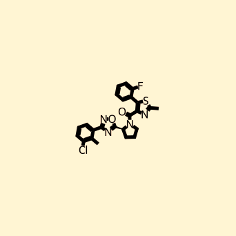 Cc1nc(C(=O)N2CCC[C@H]2c2nc(-c3cccc(Cl)c3C)no2)c(-c2ccccc2F)s1